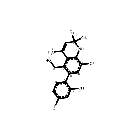 CC1=CC(C)(C)Nc2c(Cl)cc(-c3ccc(F)cc3O)c(CO)c21